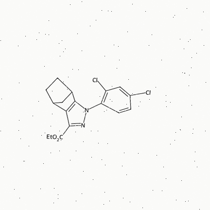 CCOC(=O)c1nn(-c2ccc(Cl)cc2Cl)c2c1C1CCC2C1